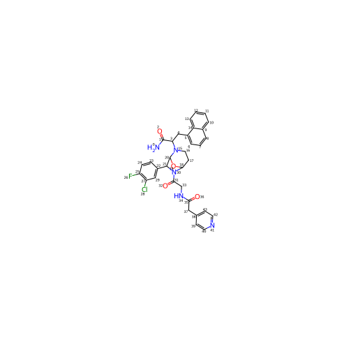 NC(=O)C(Cc1cccc2ccccc12)N1CCC2OC1C(c1ccc(F)c(Cl)c1)N2C(=O)CNC(=O)Cc1ccncc1